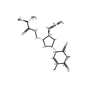 CC[C@H](C)[C@H](N)C(=O)OC[C@H]1O[C@@H](n2cc(C)c(=O)[nH]c2=O)C[C@@H]1N=[N+]=[N-]